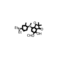 CCN(CC)c1ccc(N(C)c2cc(C=O)c(O)c3c2C(=O)C(C)(C)C3=O)c(C)c1